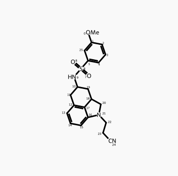 COc1cccc(S(=O)(=O)NC2Cc3cccc4c3C(C2)CN4CCC#N)c1